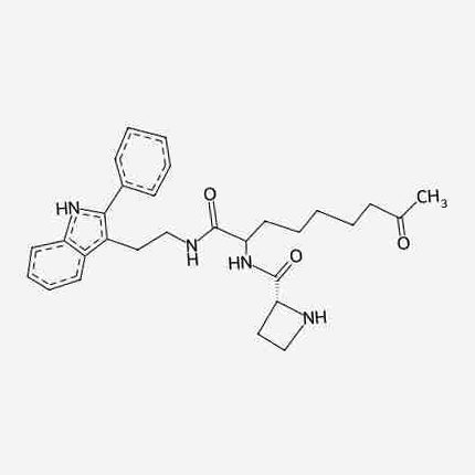 CC(=O)CCCCCC(NC(=O)[C@H]1CCN1)C(=O)NCCc1c(-c2ccccc2)[nH]c2ccccc12